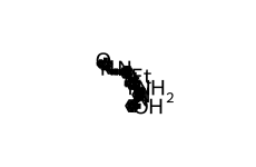 CCC1CN(c2cc(-c3ccccc3O)nnc2N)CC(C)N1c1ccnc(C#CCN2CCOC(C)(C)C2)c1